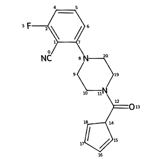 N#Cc1c(F)cccc1N1CCN(C(=O)C2C=CC=C2)CC1